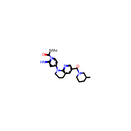 CNC(=O)n1ccc(N2CCCc3cc(C(=O)N4CCCC(C)C4)cnc32)cc1=N